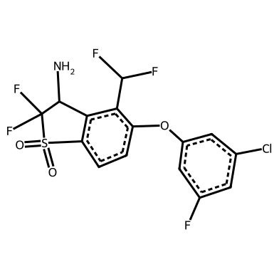 NC1c2c(ccc(Oc3cc(F)cc(Cl)c3)c2C(F)F)S(=O)(=O)C1(F)F